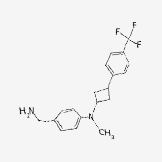 CN(c1ccc(CN)cc1)C1CC(c2ccc(C(F)(F)F)cc2)C1